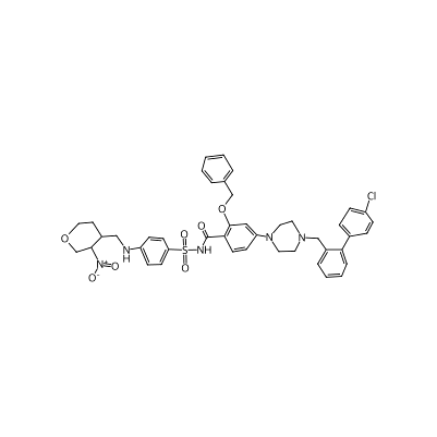 O=C(NS(=O)(=O)c1ccc(NCC2CCOCC2[N+](=O)[O-])cc1)c1ccc(N2CCN(Cc3ccccc3-c3ccc(Cl)cc3)CC2)cc1OCc1ccccc1